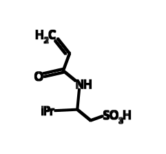 C=CC(=O)NC(CS(=O)(=O)O)C(C)C